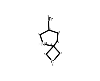 CC(C)C1CCC2(COC2)NC1